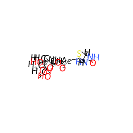 CC(=O)NC1(C)[C@](C)(O)[C@](C)(O)C(C)(CO)O[C@@]1(C)COC(=O)CCCCC1SC[C@@H]2NC(=O)N[C@H]12